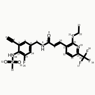 C#Cc1cc(CNC(=O)C=Cc2ccc(C(F)(F)F)nc2SCC)cc(F)c1NS(C)(=O)=O